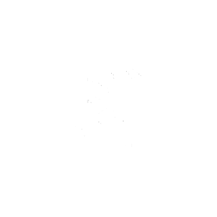 CSCC[C@H](NC(=O)[C@H](CCC(=O)O)NC(=O)[C@@H](NC(=O)[C@@H](N)Cc1c[nH]cn1)C(C)C)C(=O)O